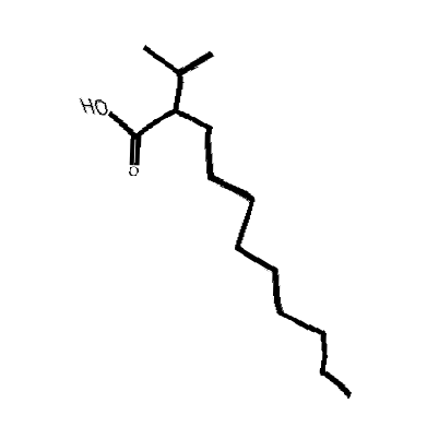 CCCCCCCCCC(C(=O)O)C(C)C